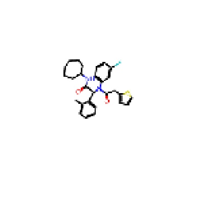 Cc1ccccc1C(C(=O)NC1CCCCCC1)N(C(=O)Cc1cccs1)c1cccc(F)c1